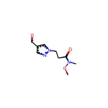 CON(C)C(=O)CCn1cc(C=O)cn1